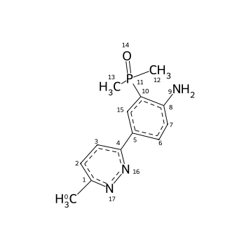 Cc1ccc(-c2ccc(N)c(P(C)(C)=O)c2)nn1